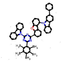 Bc1c(B)c(B)c(-c2nc(-c3cccc4c3oc3cccc(-n5c6ccccc6c6ccc(-c7ccccc7)cc65)c34)nc(-n3c4ccccc4c4ccccc43)n2)c(B)c1B